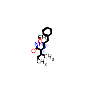 CC/C(C)=C(/C=C(/CC1=CC=CCC1)OC)C(N)=O